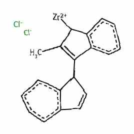 CC1=C(C2C=Cc3ccccc32)c2ccccc2[CH]1[Zr+2].[Cl-].[Cl-]